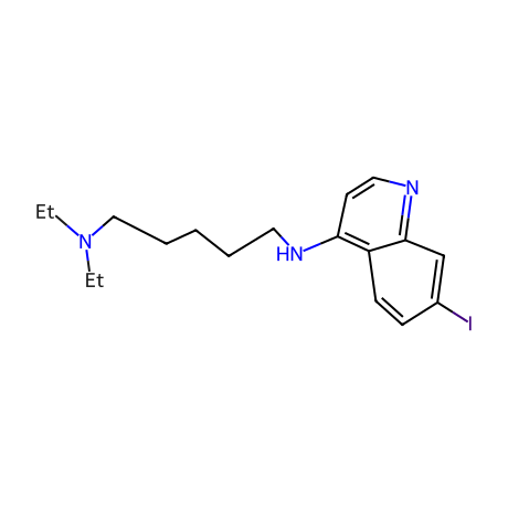 CCN(CC)CCCCCNc1ccnc2cc(I)ccc12